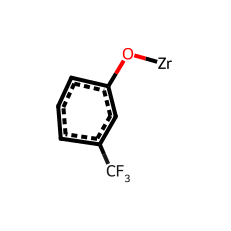 FC(F)(F)c1cccc([O][Zr])c1